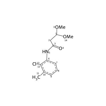 COC(CC(=O)Nc1cccc(C)c1Cl)OC